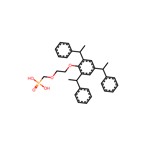 CC(c1ccccc1)c1cc(C(C)c2ccccc2)c(OCCOCP(=O)(O)O)c(C(C)c2ccccc2)c1